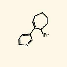 C[C](C)C1CCCCC=C1c1cccnc1